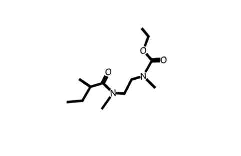 CCOC(=O)N(C)CCN(C)C(=O)C(C)CC